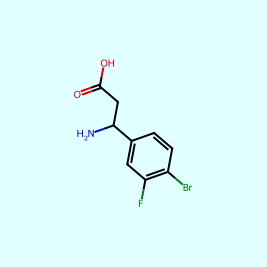 NC(CC(=O)O)c1ccc(Br)c(F)c1